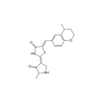 CC1NC/C(=c2/[nH]c(=O)/c(=C/c3ccc4c(c3)C(C)CCO4)s2)C1=O